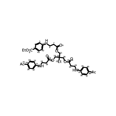 CCOC(=O)c1ccc(NCCC(=O)OCC(CC)(COC(=O)CCNc2ccc(C(C)=O)cc2)COC(=O)CCNc2ccc(C(C)=O)cc2)cc1